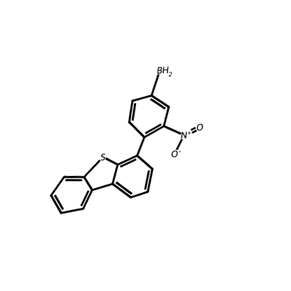 Bc1ccc(-c2cccc3c2sc2ccccc23)c([N+](=O)[O-])c1